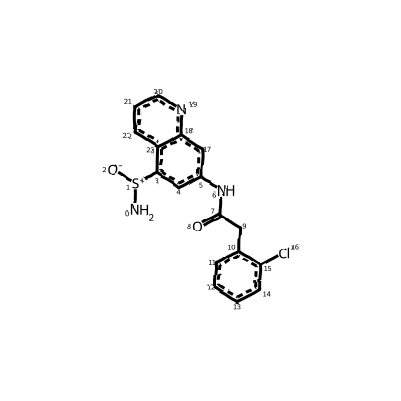 N[S+]([O-])c1cc(NC(=O)Cc2ccccc2Cl)cc2ncccc12